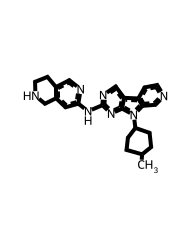 CC1CCC(n2c3cnccc3c3cnc(Nc4cc5c(cn4)CCNC5)nc32)CC1